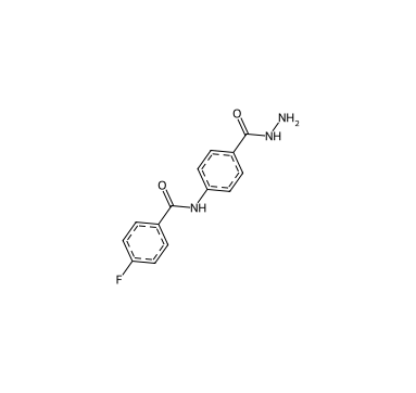 NNC(=O)c1ccc(NC(=O)c2ccc(F)cc2)cc1